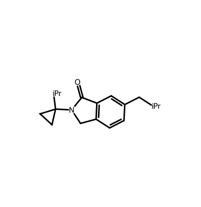 CC(C)Cc1ccc2c(c1)C(=O)N(C1(C(C)C)CC1)C2